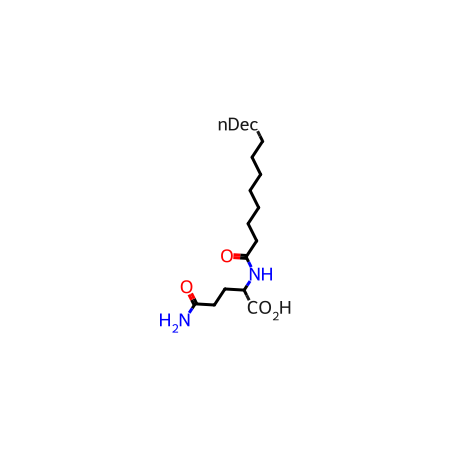 CCCCCCCCCCCCCCCCCC(=O)NC(CCC(N)=O)C(=O)O